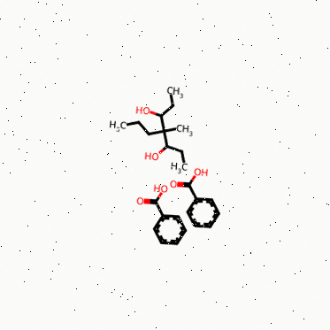 CCCC(C)(C(O)CC)C(O)CC.O=C(O)c1ccccc1.O=C(O)c1ccccc1